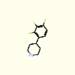 Fc1ccc(C2CCNCC2)c(F)c1F